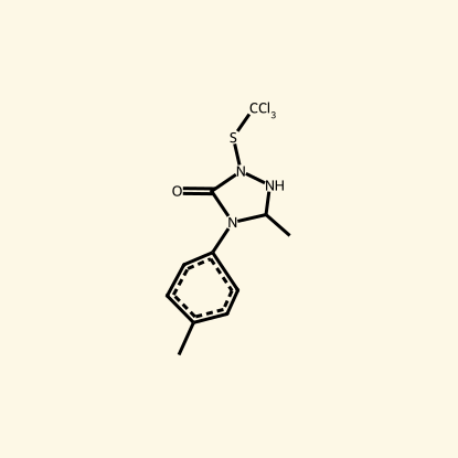 Cc1ccc(N2C(=O)N(SC(Cl)(Cl)Cl)NC2C)cc1